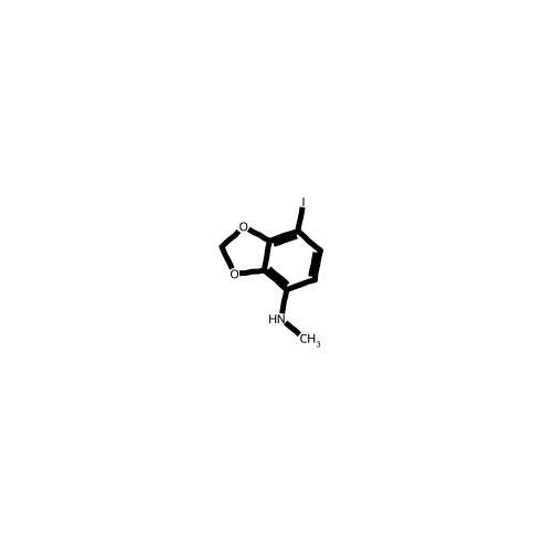 CNc1ccc(I)c2c1OCO2